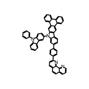 c1ccc(-n2c3ccccc3c3cc(-n4c5cc(-c6ccc(-c7ccc8ccc9cccnc9c8n7)cc6)ccc5c5cc6c7ccccc7c7ccccc7c6cc54)ccc32)cc1